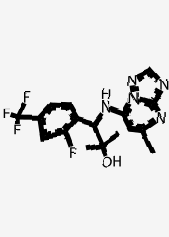 Cc1cc(NC(c2ccc(C(F)(F)F)cc2F)C(C)(C)O)n2ncnc2n1